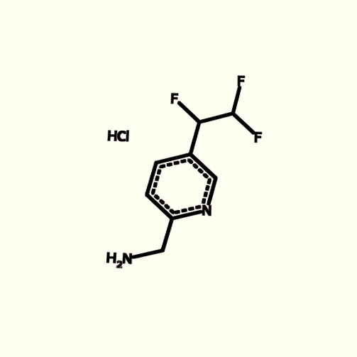 Cl.NCc1ccc(C(F)C(F)F)cn1